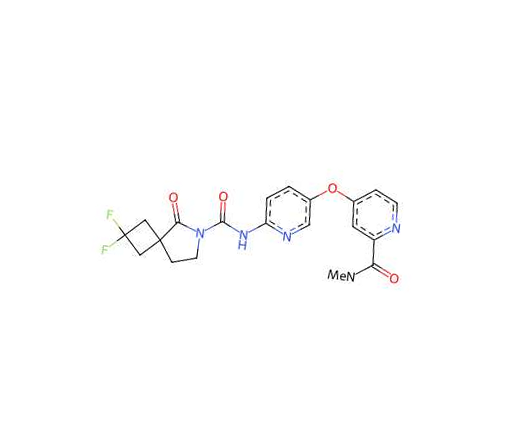 CNC(=O)c1cc(Oc2ccc(NC(=O)N3CCC4(CC(F)(F)C4)C3=O)nc2)ccn1